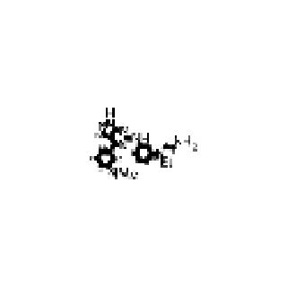 CCN(CCN)c1cccc(Nc2nc(-c3cccc(NC)c3)c3cn[nH]c3n2)c1